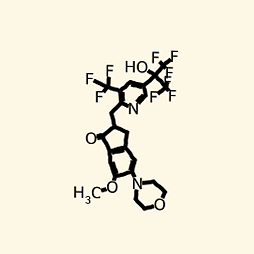 COc1cc2c(cc1N1CCOCC1)CC(Cc1ncc(C(O)(C(F)(F)F)C(F)(F)F)cc1C(F)(F)F)C2=O